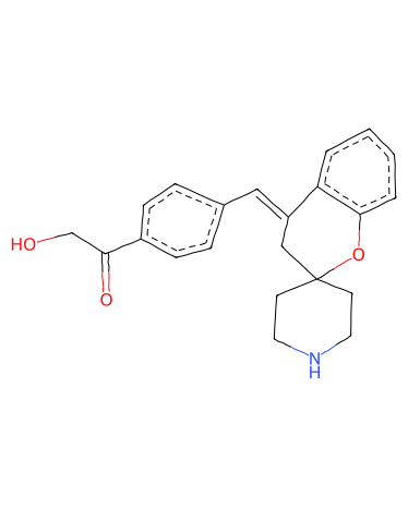 O=C(CO)c1ccc(C=C2CC3(CCNCC3)Oc3ccccc32)cc1